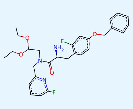 CCOC(CN(Cc1cccc(F)n1)C(=O)[C@@H](N)Cc1ccc(OCc2ccccc2)cc1F)OCC